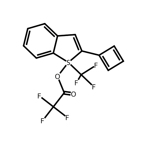 O=C(OS1(C(F)(F)F)C(C2=CC=C2)=Cc2ccccc21)C(F)(F)F